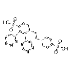 O=S(=O)(O)c1ccc(C=Cc2ccc(S(=O)(=O)O)c(-c3ccnnn3)c2-c2ccnnn2)cc1